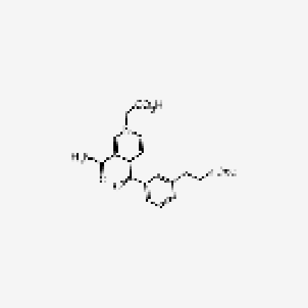 CCCCCCCCCCCCc1cccc(C(=O)C2C=CN(CC(=O)O)C=C2C(N)=O)c1